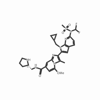 COc1cc(C(=O)NC[C@@H]2CCCN2)cc2nc(-c3cc4ccc(N(C(F)F)S(C)(=O)=O)nc4n3CC3CC3)c(C)n12